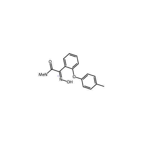 CNC(=O)/C(=N/O)c1ccccc1Oc1ccc(C)cc1